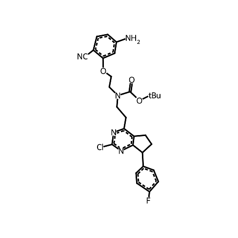 CC(C)(C)OC(=O)N(CCOc1cc(N)ccc1C#N)CCc1nc(Cl)nc2c1CCC2c1ccc(F)cc1